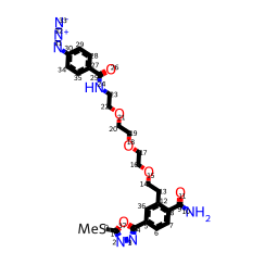 CSc1nnc(-c2ccc(C(N)=O)c(CCOCCOCCOCCNC(=O)c3ccc(N=[N+]=[N-])cc3)c2)o1